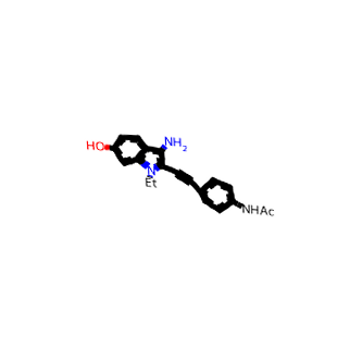 CCn1c(C#Cc2ccc(NC(C)=O)cc2)c(N)c2ccc(O)cc21